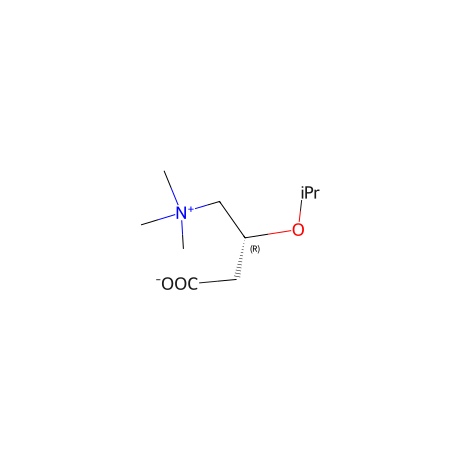 CC(C)O[C@H](CC(=O)[O-])C[N+](C)(C)C